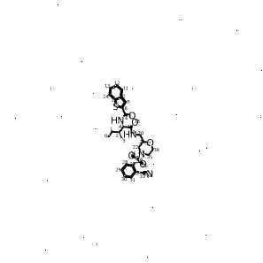 CC[C@H](C)[C@H](NC(=O)c1cc2ccccc2s1)C(=O)NCC1CN(S(=O)(=O)c2ccccc2C#N)CCO1